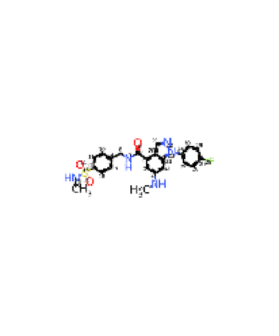 CNc1cc(C(=O)NCc2ccc(S(=O)(=O)NC)cc2)c2cnn(-c3ccc(F)cc3)c2c1